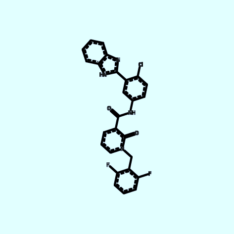 O=C(Nc1ccc(Cl)c(-c2nc3ccccc3[nH]2)c1)c1cccn(Cc2c(F)cccc2F)c1=O